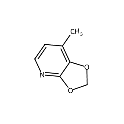 Cc1ccnc2c1OCO2